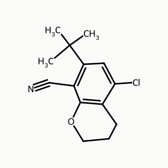 CC(C)(C)c1cc(Cl)c2c(c1C#N)OCCC2